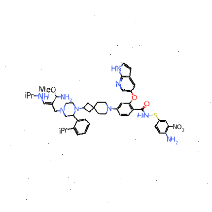 COC(N)/C(=C\NC(C)C)CN1CCN(C2CC3(CCN(c4ccc(C(=O)NSc5ccc(N)c([N+](=O)[O-])c5)c(Oc5cnc6[nH]ccc6c5)c4)CC3)C2)C(c2ccccc2C(C)C)C1